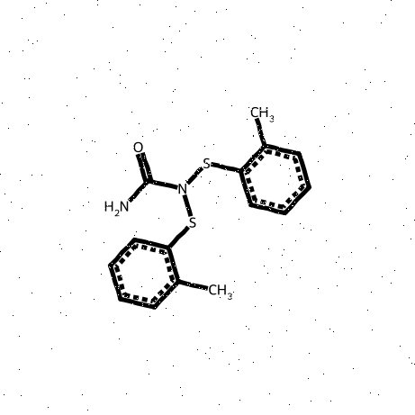 Cc1ccccc1SN(Sc1ccccc1C)C(N)=O